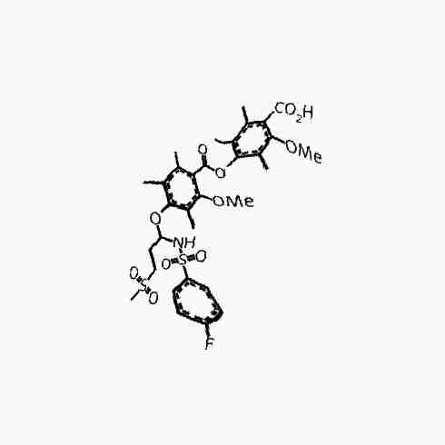 COc1c(C)c(OC(=O)c2c(C)c(C)c(OC(CCS(C)(=O)=O)NS(=O)(=O)c3ccc(F)cc3)c(C)c2OC)c(C)c(C)c1C(=O)O